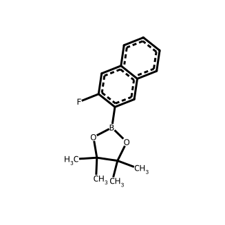 CC1(C)OB(c2cc3ccccc3cc2F)OC1(C)C